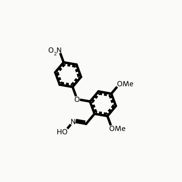 COc1cc(OC)c(/C=N/O)c(Oc2ccc([N+](=O)[O-])cc2)c1